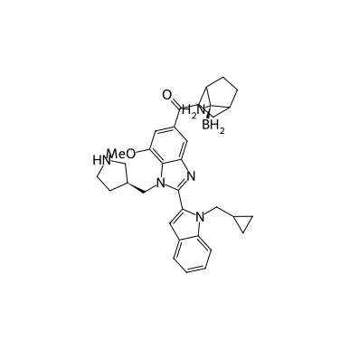 B[C@]1(N)C2CCC1C(C(=O)c1cc(OC)c3c(c1)nc(-c1cc4ccccc4n1CC1CC1)n3C[C@H]1CCNC1)C2